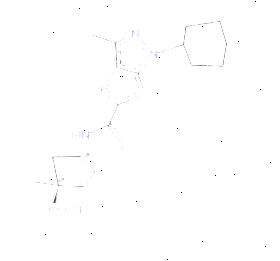 Cc1nn(C2CCCCC2)c2sc(C(=O)N[C@@H]3CC[C@@](C)(C(=O)O)C3)cc12